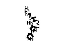 CC(SCN=[N+]=[N-])C(=O)Nc1cn(-c2cccnc2)nc1Cl